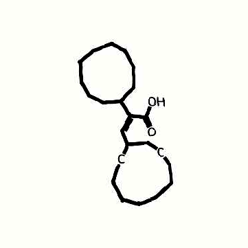 O=C(O)C(=CC1CCCCCCCCC1)C1CCCCCCCCC1